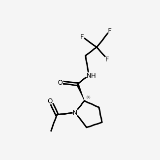 CC(=O)N1CCC[C@@H]1C(=O)NCC(F)(F)F